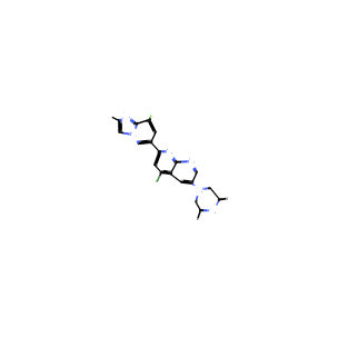 Cc1cn2cc(-c3cc(Cl)c4cc(N5CC(C)NC(C)C5)cnc4n3)cc(F)c2n1